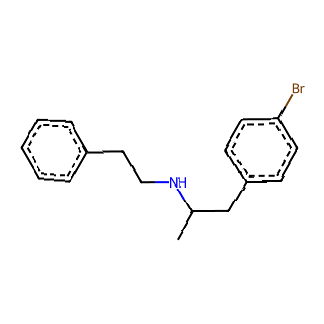 CC(Cc1ccc(Br)cc1)NCCc1ccccc1